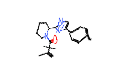 C=C(C)C(C)(C)C(=O)N1CCCCC1c1ncc(-c2ccc(C)cc2)[nH]1